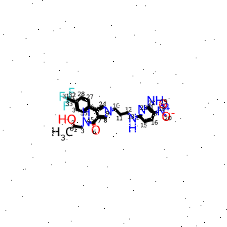 C[C@H](O)CNC(=O)c1cn(CCCNc2ccc([N+](=O)[O-])c(N)n2)cc1-c1ccc(C(F)(F)F)cc1